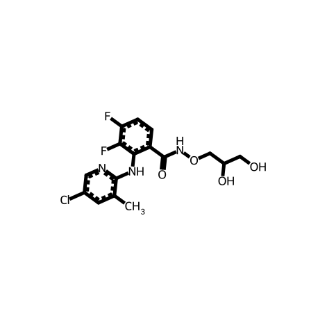 Cc1cc(Cl)cnc1Nc1c(C(=O)NOCC(O)CO)ccc(F)c1F